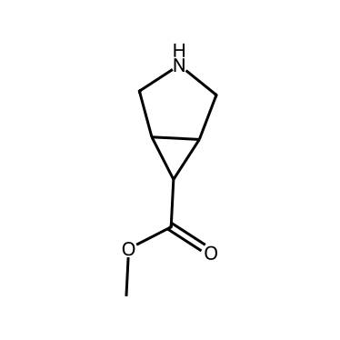 COC(=O)C1C2CNCC21